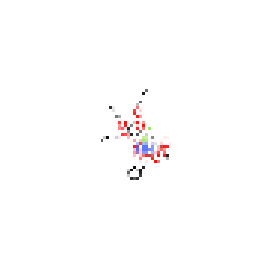 CCCCOC[C@H]1O[C@H](C(F)(F)CC(NC(=O)OCc2ccccc2)C(=O)OCC)[C@H](O)[C@@H](OCCCC)[C@H]1OCCCC